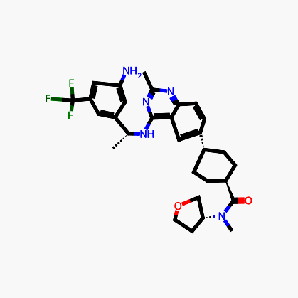 Cc1nc(N[C@H](C)c2cc(N)cc(C(F)(F)F)c2)c2cc([C@H]3CC[C@H](C(=O)N(C)[C@@H]4CCOC4)CC3)ccc2n1